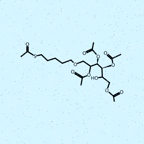 CC(=O)OCC(O)[C@H](OC(C)=O)[C@H](OC(C)=O)C(COCCCCCSC(C)=O)OC(C)=O